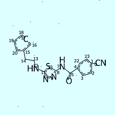 N#Cc1ccc(C(=O)Nc2nnc(NCCc3ccccc3)s2)cc1